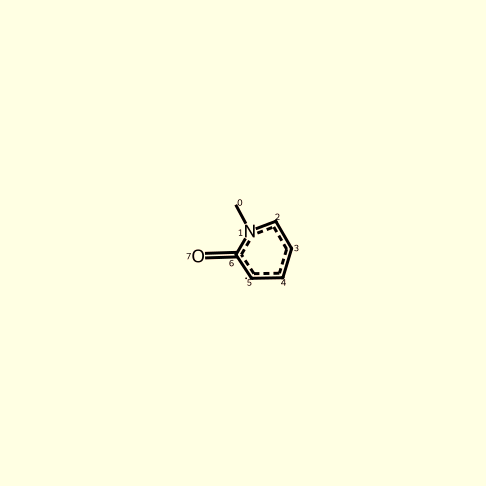 Cn1ccc[c]c1=O